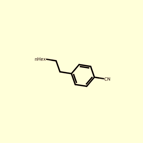 CCCCCCCCc1ccc(C#N)cc1